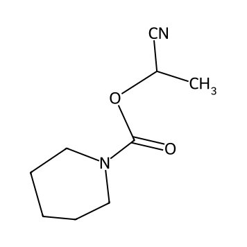 CC(C#N)OC(=O)N1CCCCC1